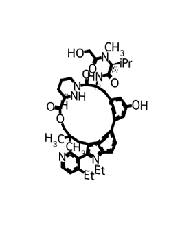 CCc1ccncc1-c1c2c3cc(ccc3n1CC)-c1cc(O)cc(c1)C[C@H](NC(=O)[C@H](C(C)C)N(C)C(=O)CO)C(=O)N1CCC[C@H](N1)C(=O)OCC(C)(C)C2